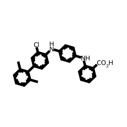 Cc1cccc(C)c1-c1ccc(Nc2ccc(Nc3ccccc3C(=O)O)cc2)c(Cl)c1